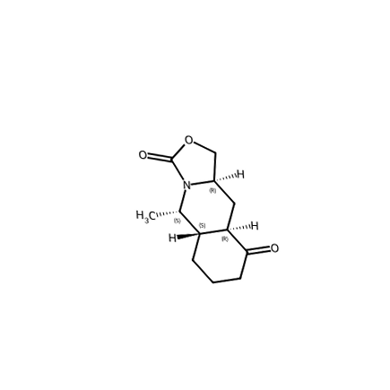 C[C@H]1[C@H]2CCCC(=O)[C@@H]2C[C@@H]2COC(=O)N21